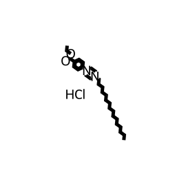 CCCCCCCCCCCCCCCCN1CCN(c2ccc(C(=O)OCC)cc2)CC1.Cl